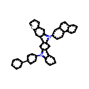 c1ccc(-c2ccc(-n3c4ccccc4c4cc5c(cc43)c3cc4ccccc4cc3n5-c3ccc4c(ccc5ccccc54)c3)cc2)cc1